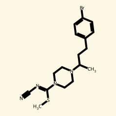 CSC(=NC#N)N1CCN(C(C)CCc2ccc(Br)cc2)CC1